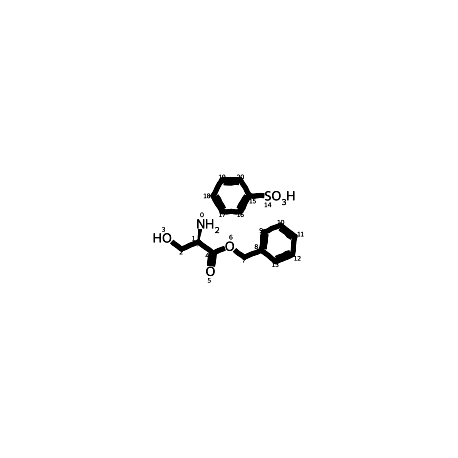 N[C@H](CO)C(=O)OCc1ccccc1.O=S(=O)(O)c1ccccc1